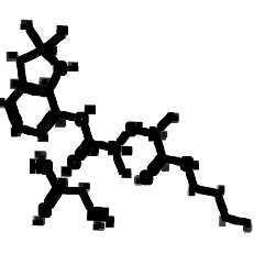 CCCCOC(=O)N(C)SN(C)C(=O)Oc1cccc2c1OC(C)(C)C2.NCC(=O)O